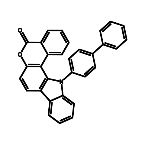 O=c1oc2ccc3c4ccccc4n(-c4ccc(-c5ccccc5)cc4)c3c2c2ccccc12